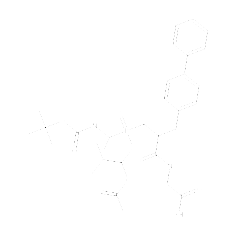 CC(=O)OC(OP(=O)(CC(Cc1ccc(-c2ccccc2)cc1)C(=O)N[C@@H](C)C(=O)O)C(C)NC(=O)OC(C)(C)C)C(C)C